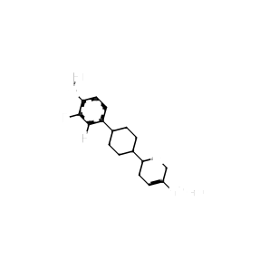 CCCCCC1=CCC(C2CCC(c3ccc(OCC)c(F)c3F)CC2)OC1